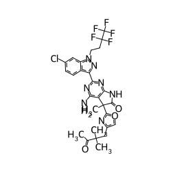 CC(=O)C(C)(C)Cc1coc(C2(C)C(=O)Nc3nc(-c4nn(CCC(F)(F)C(F)(F)F)c5cc(Cl)ccc45)nc(N)c32)n1